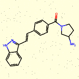 NC1CCN(C(=O)c2ccc(C=Cc3n[nH]c4ccccc34)cc2)C1